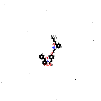 CCCCCC(=O)c1ccccc1NCCCOc1ccc(CC(Nc2ccccc2C(=O)c2ccccc2)C(=O)O)cc1